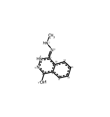 CN/N=c1\[nH]nc(O)c2ccccc12